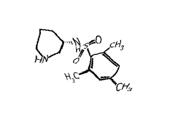 Cc1cc(C)c(S(=O)(=O)N[C@H]2CCCNC2)c(C)c1